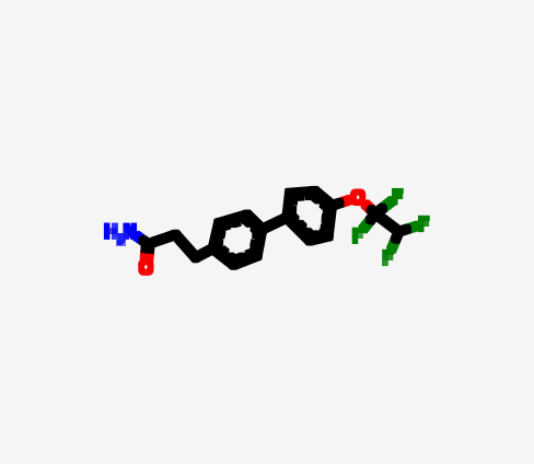 NC(=O)CCc1ccc(-c2ccc(OC(F)(F)C(F)F)cc2)cc1